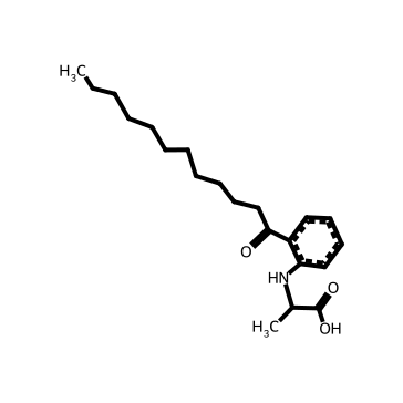 CCCCCCCCCCCC(=O)c1ccccc1NC(C)C(=O)O